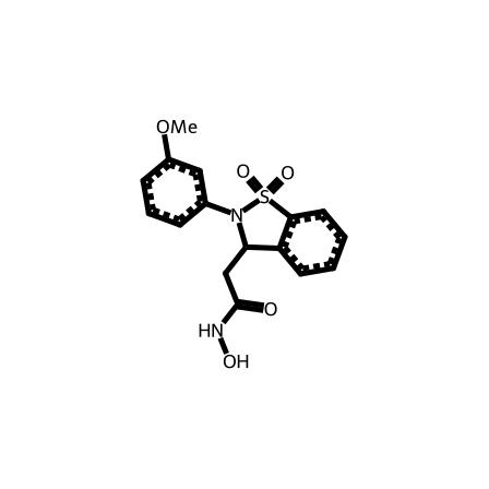 COc1cccc(N2C(CC(=O)NO)c3ccccc3S2(=O)=O)c1